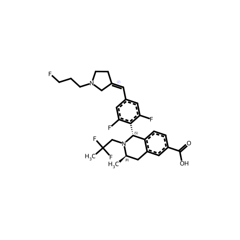 C[C@@H]1Cc2cc(C(=O)O)ccc2[C@@H](c2c(F)cc(/C=C3/CCN(CCCF)C3)cc2F)N1CC(C)(F)F